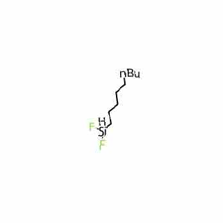 CCCCCCCCC[SiH](F)F